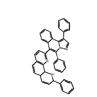 C1=CC2C=CC(c3ccccc3)NC2c2nc(-c3c(-c4ccccc4)n4ncc(-c5ccccc5)c4c4ccccc34)ccc21